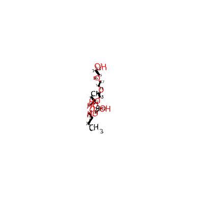 CCCCOCCCC.OB(O)O.OCCOCCOCCO